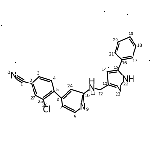 N#Cc1ccc(-c2ccnc(NCc3cc(-c4ccccc4)[nH]n3)c2)c(Cl)c1